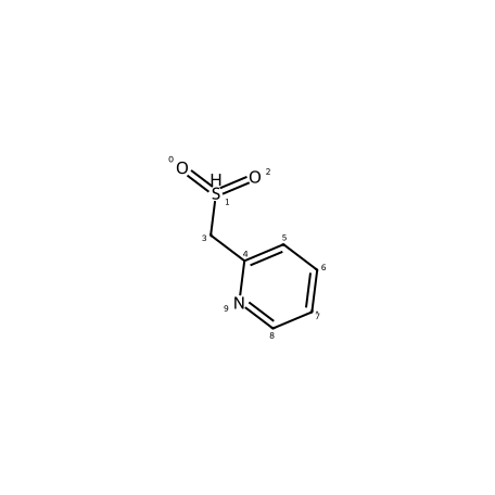 O=[SH](=O)Cc1cc[c]cn1